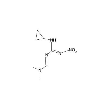 CN(C)/C=N/C(=N/[N+](=O)[O-])NC1CC1